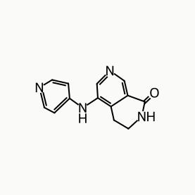 O=C1NCCc2c(Nc3ccncc3)cncc21